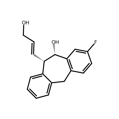 OCC=C[C@H]1c2ccccc2Cc2ccc(F)cc2[C@H]1O